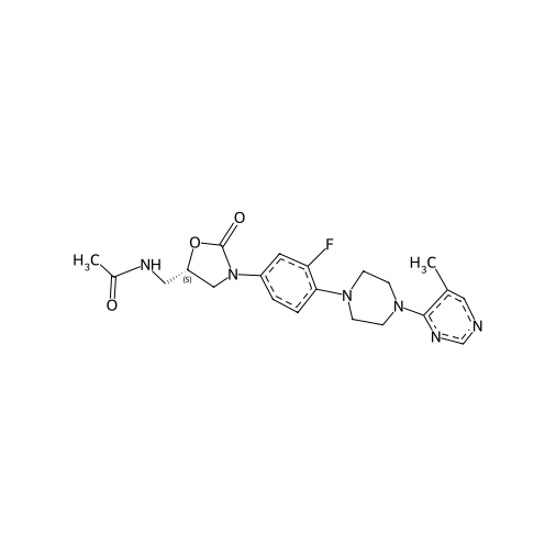 CC(=O)NC[C@H]1CN(c2ccc(N3CCN(c4ncncc4C)CC3)c(F)c2)C(=O)O1